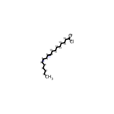 CCCCC/C=C\C/C=C/CCCCCCCC(=O)Cl